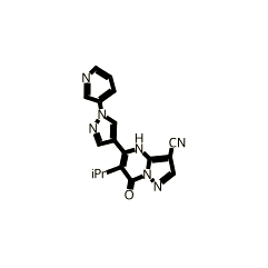 CC(C)c1c(-c2cnn(-c3cccnc3)c2)[nH]c2c(C#N)cnn2c1=O